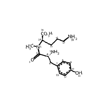 CN(C(=O)[C@H](N)Cc1ccc(O)cc1)[C@H](CCCN)C(=O)O